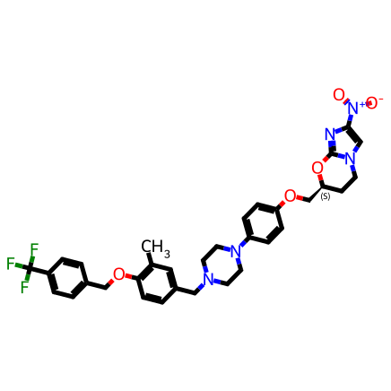 Cc1cc(CN2CCN(c3ccc(OC[C@@H]4CCn5cc([N+](=O)[O-])nc5O4)cc3)CC2)ccc1OCc1ccc(C(F)(F)F)cc1